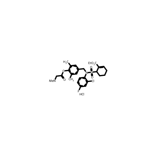 CCOC(=O)C1=CCCCC1S(=O)(=O)N(Cc1cc(C)c(OC(=O)CNC)c(C)c1)c1ccc(F)cc1Cl.Cl